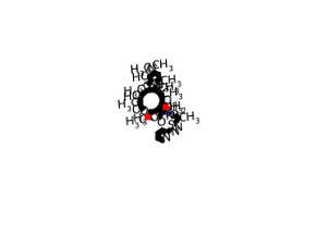 CC[C@@H]1OC(=O)[C@H](C)C(O)[C@H](C)[C@@H](OC2O[C@H](C)C[C@H](N(C)C)[C@H]2O)[C@](C)(OC)C[C@@H](C)C(=O)[C@H](C)[C@H]2C(/C(N)=N/O[C@@H](C)c3nnc(-c4ccccn4)s3)C(=O)O[C@]12C